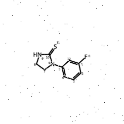 Fc1cccc(N2CCNC2=S)c1